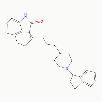 O=C1Nc2cccc3c2C1(CCCCN1CCN(C2CCc4ccccc42)CC1)CCC3